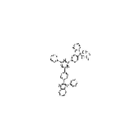 CC1(C)c2ccccc2-c2cc(-c3nc(-c4ccccc4)nc(-c4ccc(-c5nc6ccccc6n5-c5ccccc5)cc4)n3)ccc21